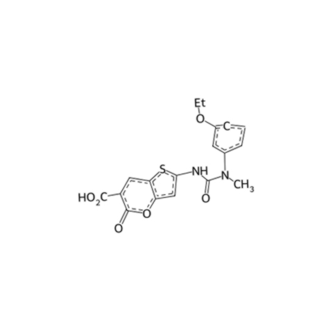 CCOc1cccc(N(C)C(=O)Nc2cc3oc(=O)c(C(=O)O)cc3s2)c1